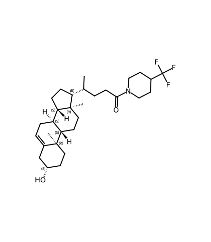 CC(CCC(=O)N1CCC(C(F)(F)F)CC1)[C@H]1CC[C@H]2[C@@H]3CC=C4C[C@@H](O)CC[C@]4(C)[C@H]3CC[C@]12C